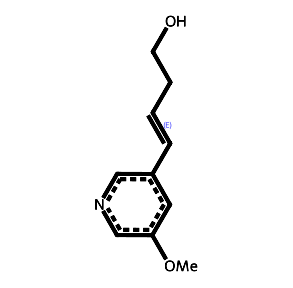 COc1cncc(/C=C/CCO)c1